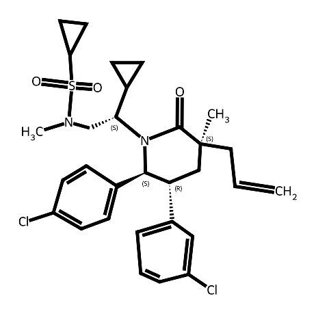 C=CC[C@@]1(C)C[C@H](c2cccc(Cl)c2)[C@@H](c2ccc(Cl)cc2)N([C@H](CN(C)S(=O)(=O)C2CC2)C2CC2)C1=O